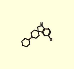 Clc1ccc2c(c1)C1(CCN(C3CCCCC3)CC1)CN2